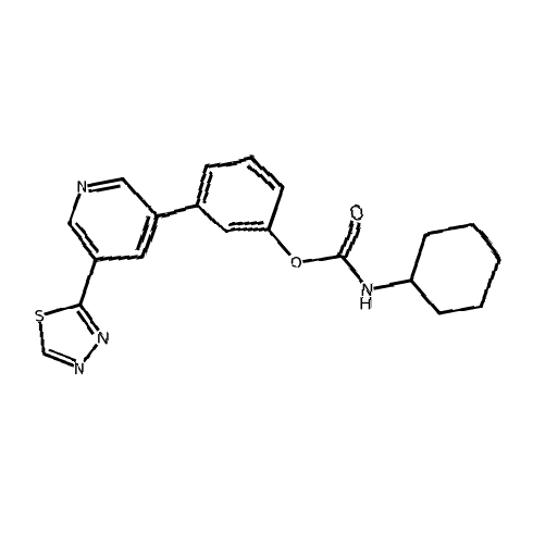 O=C(NC1CCCCC1)Oc1cccc(-c2cncc(-c3nncs3)c2)c1